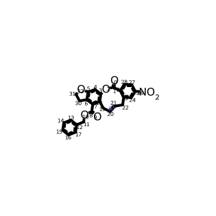 O=C1Oc2cc3c(c(C(=O)OCc4ccccc4)c2C/C=C/Cc2cc([N+](=O)[O-])ccc21)CCO3